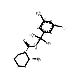 CC(C)(NC(=O)[C@H]1CCCC[C@@H]1N)c1cc(C(F)(F)F)cc(C(F)(F)F)c1